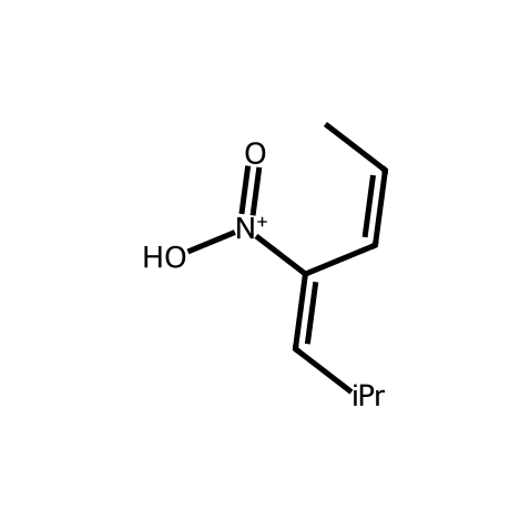 C/C=C\C(=C/C(C)C)[N+](=O)O